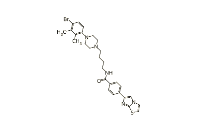 Cc1c(Br)ccc(N2CCN(CCCCNC(=O)c3ccc(-c4cn5ccsc5n4)cc3)CC2)c1C